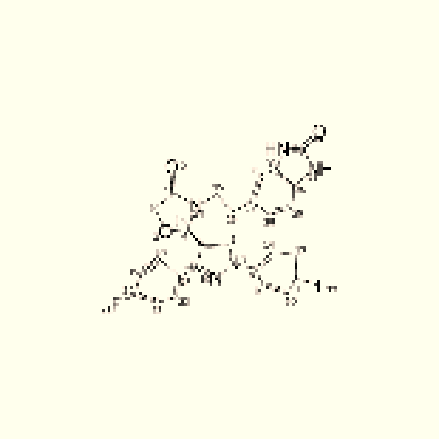 O=C1CO[C@H](c2cn(-c3ccc(F)cc3)nc2-c2c#cc(F)cc2)N1CCc1ccc2[nH]c(=O)[nH]c2c1